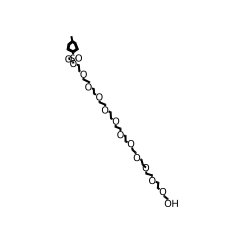 Cc1ccc(S(=O)(=O)OCCOCCOCCOCCOCCOCCOCCOCCOCCOCCOCCOCCO)cc1